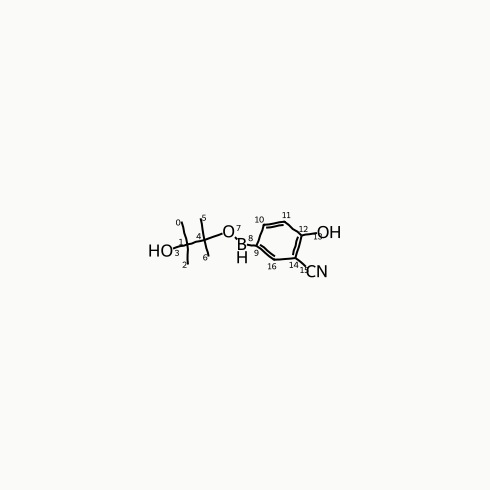 CC(C)(O)C(C)(C)OBc1ccc(O)c(C#N)c1